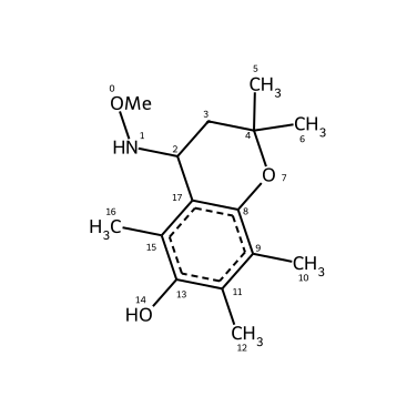 CONC1CC(C)(C)Oc2c(C)c(C)c(O)c(C)c21